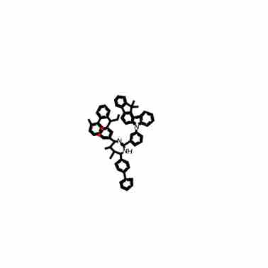 CCC(c1cccc(C2N=C(c3cccc(-n4c5ccccc5c5c6c(ccc54)-c4ccccc4C6(C)C)c3)NC(c3ccc(-c4ccccc4)cc3)C(C)C2C)c1)c1ccccc1-c1ccccc1C